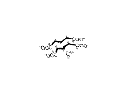 O=C([O-])CCCC(=O)[O-].O=C([O-])CCCC(=O)[O-].[C+4]